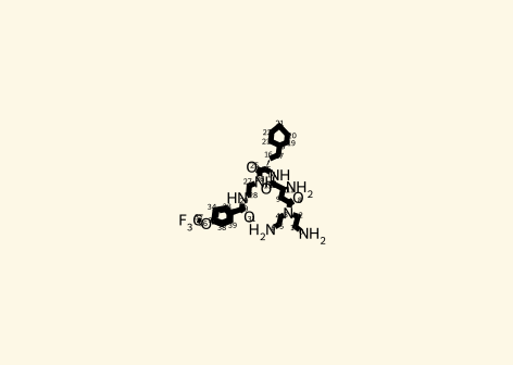 NCCN(CCN)C(=O)C[C@H](N)C(=O)N[C@@H](CCC1CCCCC1)C(=O)NCCNC(=O)c1ccc(OC(F)(F)F)cc1